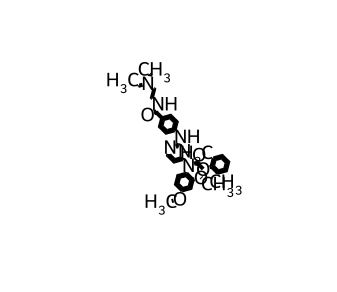 CCN(CC)CCNC(=O)c1ccc(Nc2nccc(N(C(=O)Oc3c(C)cccc3C)c3ccc(OC)cc3OC)n2)cc1